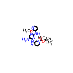 COc1ncccc1Nc1ncc(N)c(N[C@@H]2CCCN(C(=O)OC(C)(C)C)C2)n1